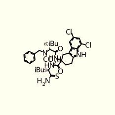 CC[C@H](C)C(NC(=O)[C@@]1(NC(=O)C([C@@H](C)CC)N(Cc2ccccc2)C(=O)O)CCc2[nH]c3c(Cl)cc(Cl)cc3c2C1)C(N)=S